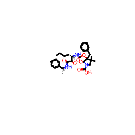 CCCC[C@H](NC(=O)OC1(Cc2ccccc2)C(=O)N(C(=O)O)CC1(C)C)C(=O)C(=O)N[C@H](C)c1ccccc1